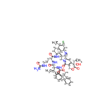 CC[C@@]1(O)C(=O)OCc2c1cc1n(c2=O)Cc2c-1nc1cc(F)c(C)c3c1c2[C@@H](NC(=O)[C@@H](CCCNC(N)=O)NC(=O)[C@@H](NC(=O)OCC1c2ccccc2-c2ccccc21)C(C)C)CC3